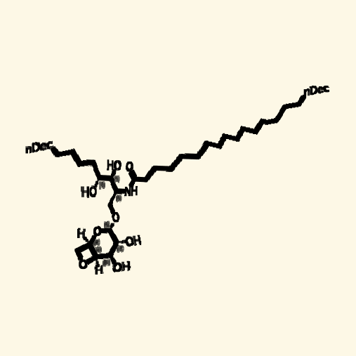 CCCCCCCCCCCCCCCCCCCCCCCCCC(=O)N[C@@H](CO[C@H]1O[C@@H]2CO[C@@H]2[C@H](O)[C@H]1O)[C@H](O)[C@H](O)CCCCCCCCCCCCCC